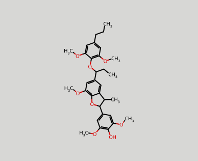 CCCc1cc(OC)c(OC(CC)c2cc(OC)c3c(c2)C(C)C(c2cc(OC)c(O)c(OC)c2)O3)c(OC)c1